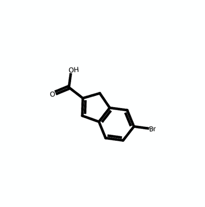 O=C(O)C1=Cc2ccc(Br)cc2C1